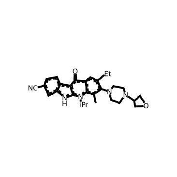 CCc1cc2c(=O)c3c4ccc(C#N)cc4[nH]c3n(C(C)C)c2c(C)c1N1CCN(C2COC2)CC1